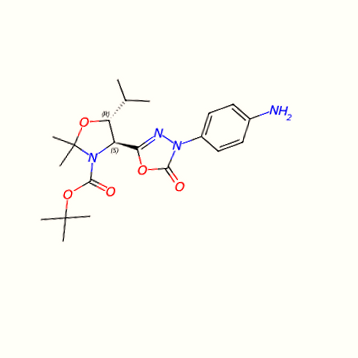 CC(C)[C@H]1OC(C)(C)N(C(=O)OC(C)(C)C)[C@@H]1c1nn(-c2ccc(N)cc2)c(=O)o1